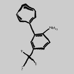 Nc1ccc(C(F)(F)F)cc1-c1ccccc1